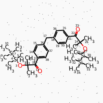 CC(C)(O[Si](C)(C)[Si](C)(C)C)C(=O)c1ccc(Cc2ccc(C(=O)C(C)(C)O[Si](C)(C)[Si](C)(C)C)cc2)cc1